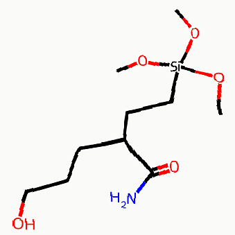 CO[Si](CCC(CCCO)C(N)=O)(OC)OC